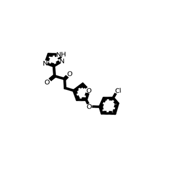 O=C(Cc1coc(Oc2cccc(Cl)c2)c1)C(=O)c1nc[nH]n1